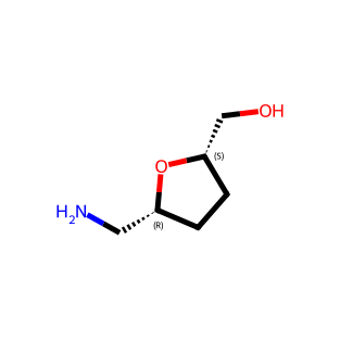 NC[C@H]1CC[C@@H](CO)O1